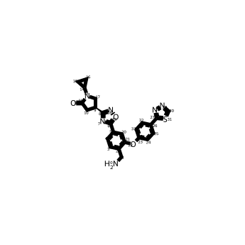 NCc1ccc(-c2nc([C@H]3CC(=O)N(C4CC4)C3)no2)cc1Oc1ccc(-c2nncs2)cc1